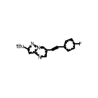 CC(C)(C)c1cc2ncc(C#Cc3ccc(F)cc3)cn2n1